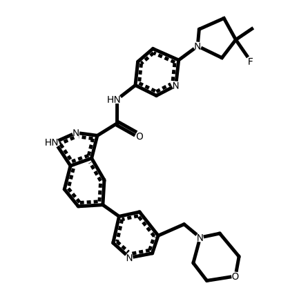 CC1(F)CCN(c2ccc(NC(=O)c3n[nH]c4ccc(-c5cncc(CN6CCOCC6)c5)cc34)cn2)C1